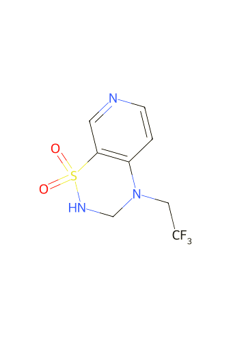 O=S1(=O)NCN(CC(F)(F)F)c2ccncc21